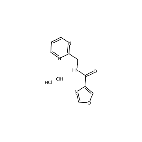 Cl.Cl.O=C(NCc1ncccn1)c1cocn1